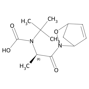 C[C@H](C(=O)N1OC2C=CC1C2)N(C(=O)O)C(C)(C)C